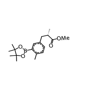 COC(=O)[C@@H](C)Cc1ccc(C)c(B2OC(C)(C)C(C)(C)O2)c1